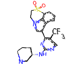 O=S1(=O)CCn2cc(-c3nc(N[C@H]4CCCNC4)ncc3C(F)(F)F)c3cccc1c32